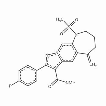 C=C1CCCN(S(C)(=O)=O)c2cn3nc(-c4ccc(F)cc4)c(C(=O)NC)c3cc21